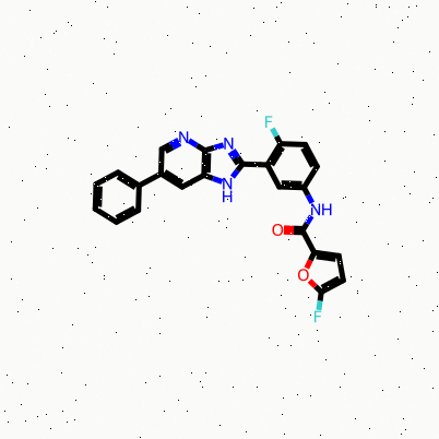 O=C(Nc1ccc(F)c(-c2nc3ncc(-c4ccccc4)cc3[nH]2)c1)c1ccc(F)o1